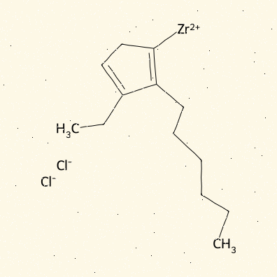 CCCCCCC1=[C]([Zr+2])CC=C1CC.[Cl-].[Cl-]